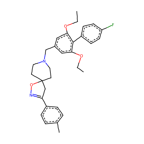 CCOc1cc(CN2CCC3(CC2)CC(c2ccc(C)cc2)=NO3)cc(OCC)c1-c1ccc(F)cc1